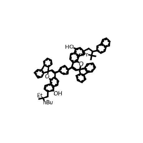 CCCCC(C)(CC)Cc1ccc2c3c(ccc2c1O)C(c1ccc(C2=CC4(Oc5c2ccc2c(O)cc(CC(c6ccc7ccccc7c6)C(C)(C)CCC)cc52)c2ccccc2-c2ccccc24)cc1)=CC1(O3)c2ccccc2-c2ccccc21